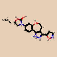 CC(=O)NC[C@H]1CN(c2ccc3c(c2)OCCc2c(-c4ccno4)n[nH]c2-3)C(=O)O1